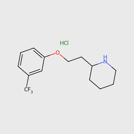 Cl.FC(F)(F)c1cccc(OCCC2CCCCN2)c1